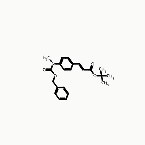 CN(C(=O)OCc1ccccc1)c1ccc(C=CC(=O)OC(C)(C)C)cc1